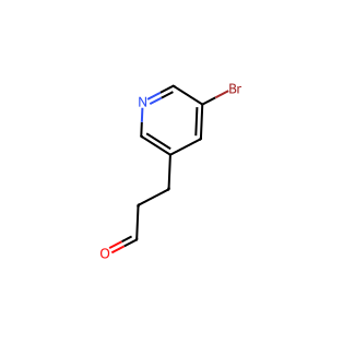 O=CCCc1cncc(Br)c1